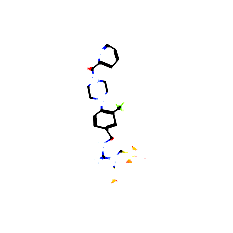 N=C(NC(=O)c1ccc(N2CCN(C(=O)c3ccccn3)CC2)c(C(F)(F)F)c1)N(CS(=O)(=O)O)CS(=O)(=O)O